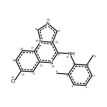 Cc1cccc(C)c1Nc1nc2cc(Cl)ccc2n2cn[c]c12